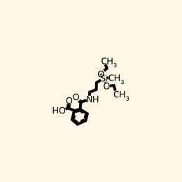 CCO[Si](C)(CCCNC(=O)c1ccccc1C(=O)O)OCC